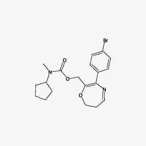 CN(C(=O)OCC1=C(c2ccc(Br)cc2)N=CCCO1)C1CCCC1